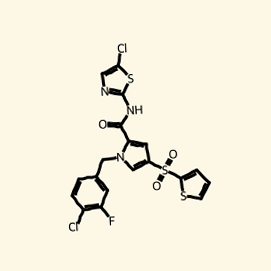 O=C(Nc1ncc(Cl)s1)c1cc(S(=O)(=O)c2cccs2)cn1Cc1ccc(Cl)c(F)c1